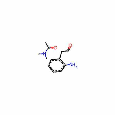 CC(=O)N(C)C.Nc1ccccc1CC=O